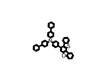 c1ccc(-c2ccc(N(c3ccc(-c4ccccc4)cc3)c3ccc(-c4cc5oc6ccccc6c5c5sc6ccccc6c45)cc3)cc2)cc1